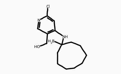 BC1(Nc2cc(Cl)ncc2CO)CCCCCCCC1